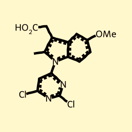 COc1ccc2c(c1)c(CC(=O)O)c(C)n2-c1cc(Cl)nc(Cl)n1